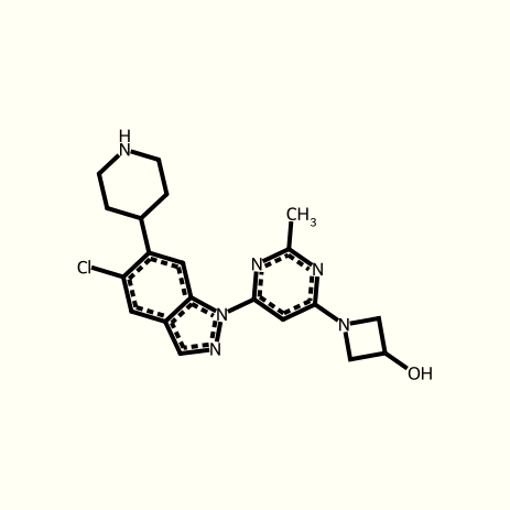 Cc1nc(N2CC(O)C2)cc(-n2ncc3cc(Cl)c(C4CCNCC4)cc32)n1